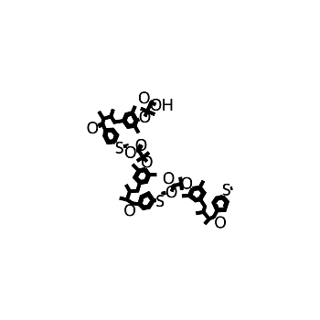 CSc1ccc(C(=O)C(C)C(C)Cc2cc(C)c(OC(C)(C)C(=O)OCSc3ccc(C(=O)C(C)C(C)Cc4cc(C)c(OC(C)(C)C(=O)OCSc5ccc(C(=O)C(C)C(C)Cc6cc(C)c(OC(C)(C)C(=O)O)c(C)c6)cc5)c(C)c4)cc3)c(C)c2)cc1